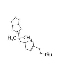 CC(C)(C)CCC1=CCC(CC(C)(C)N2CC3CCCC3C2)CC1